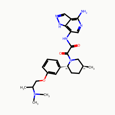 CC(COc1cccc([C@H]2CC[C@H](C)CN2C(=O)C(=O)Nc2cnc(N)c3cn[nH]c23)c1)N(C)C